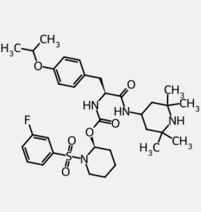 CC(C)Oc1ccc(C[C@H](NC(=O)O[C@H]2CCCCN2S(=O)(=O)c2cccc(F)c2)C(=O)NC2CC(C)(C)NC(C)(C)C2)cc1